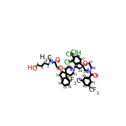 CN(CCCCO)C(=O)CO[C@H]1Cc2ccccc2C12CCN(CC[C@]1(c3ccc(Cl)c(Cl)c3)CN(C(=O)c3cc(C(F)(F)F)cc(C(F)(F)F)c3)CCO1)CC2.Cl